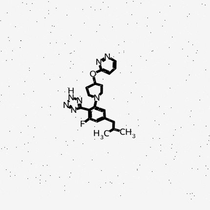 CC(C)Cc1cc(F)c(-c2nn[nH]n2)c(N2CCC(Oc3cccnn3)CC2)c1